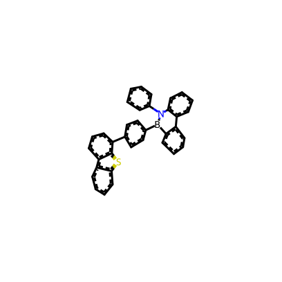 c1ccc(N2B(c3ccc(-c4cccc5c4sc4ccccc45)cc3)c3ccccc3-c3ccccc32)cc1